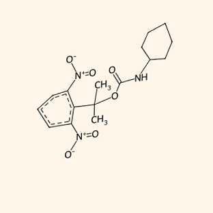 CC(C)(OC(=O)NC1CCCCC1)c1c([N+](=O)[O-])cccc1[N+](=O)[O-]